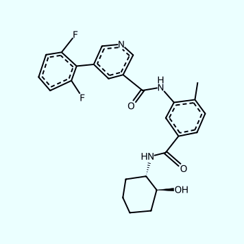 Cc1ccc(C(=O)N[C@H]2CCCC[C@@H]2O)cc1NC(=O)c1cncc(-c2c(F)cccc2F)c1